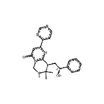 CC1(C)NCn2c(nc(-c3ccncn3)cc2=O)C1C[C@H](O)c1ccccc1